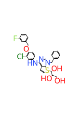 OC[C@H](O)[C@@H](O)S1=C2C(=C(Nc3ccc(OCc4cccc(F)c4)c(Cl)c3)N=CN2Cc2ccccc2)C=C1